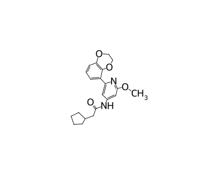 COc1cc(NC(=O)CC2CCCC2)cc(-c2cccc3c2OCCO3)n1